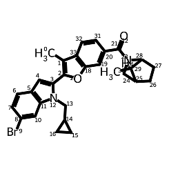 Cc1c(-c2cc3ccc(Br)cc3n2CC2CC2)oc2cc(C(=O)N3CC4CCC3[C@@H]4C)ccc12